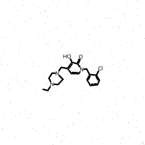 CCN1CCN(Cc2ccn(Cc3ccccc3Cl)c(=O)c2O)CC1